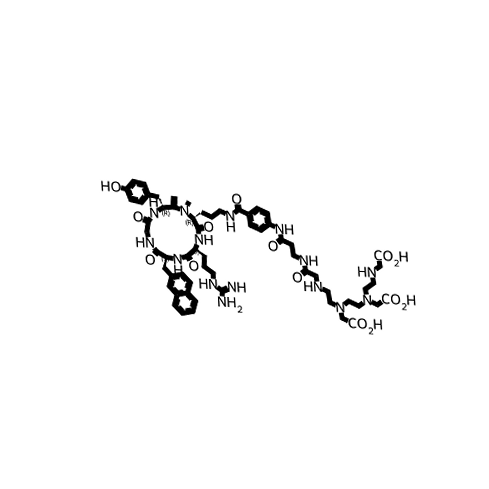 C=C1[C@@H](Cc2ccc(O)cc2)NC(=O)CNC(=O)[C@H](Cc2ccc3ccccc3c2)NC(=O)[C@H](CCCNC(=N)N)NC(=O)[C@@H](CCCNC(=O)c2ccc(NC(=O)CCNC(=O)CNCCN(CCN(CCNCC(=O)O)CC(=O)O)CC(=O)O)cc2)N1C